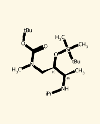 CC(C)N[C@H](C)[C@@H](CN(C)C(=O)OC(C)(C)C)O[Si](C)(C)C(C)(C)C